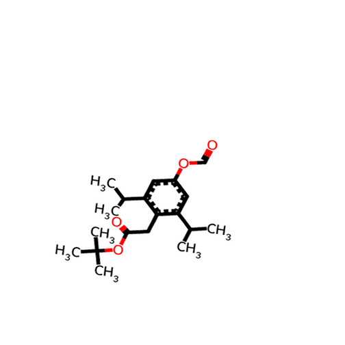 CC(C)c1cc(OC=O)cc(C(C)C)c1CC(=O)OC(C)(C)C